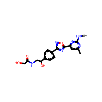 Cc1cc(-c2nc(-c3ccc(C(O)CNC(=O)CO)cc3)no2)nc(NC(C)C)n1